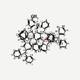 Cc1ccc(N(c2ccccc2)c2c(C#N)c(N(c3ccccc3)c3ccc(C)cc3)c(-n3c4ccccc4c4cc(N(c5ccccc5)c5ccccc5)ccc43)c(-c3ccccc3)c2-n2c3ccccc3c3cc(N(c4ccccc4)c4ccccc4)ccc32)cc1